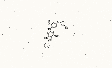 CCOc1cc(OC2CCN(CC)C2)ccc1Nc1nc(N)c2nc(C3CCCCC3)[nH]c2n1